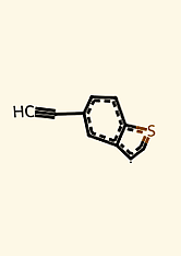 C#Cc1ccc2sc[c]c2c1